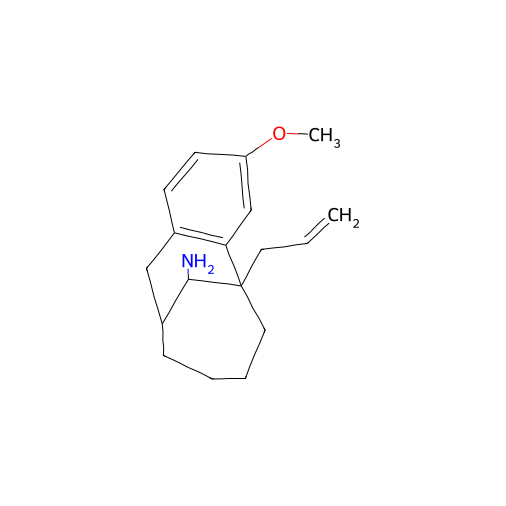 C=CCC12CCCCC(Cc3ccc(OC)cc31)C2N